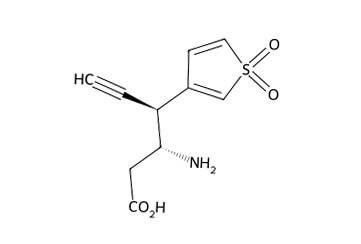 C#C[C@@H](C1=CS(=O)(=O)C=C1)[C@H](N)CC(=O)O